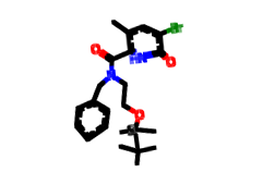 Cc1cc(Br)c(=O)[nH]c1C(=O)N(CCO[Si](C)(C)C(C)(C)C)Cc1ccccc1